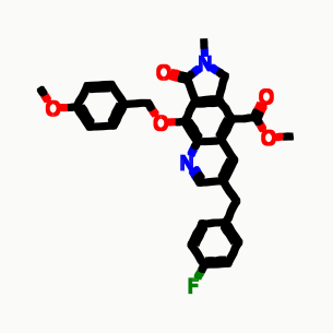 COC(=O)c1c2c(c(OCc3ccc(OC)cc3)c3ncc(Cc4ccc(F)cc4)cc13)C(=O)N(C)C2